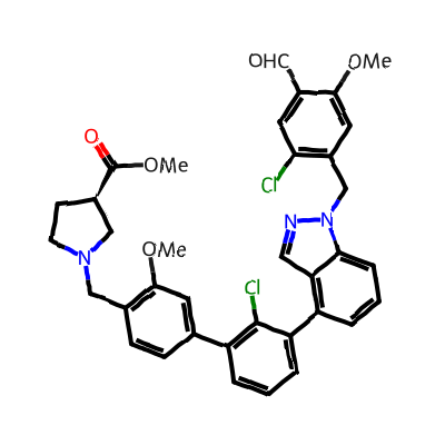 COC(=O)[C@@H]1CCN(Cc2ccc(-c3cccc(-c4cccc5c4cnn5Cc4cc(OC)c(C=O)cc4Cl)c3Cl)cc2OC)C1